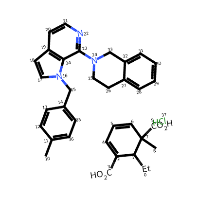 CCC1C(C(=O)O)=CC=CC1(C)C(=O)O.Cc1ccc(Cn2ccc3ccnc(N4CCc5ccccc5C4)c32)cc1.Cl